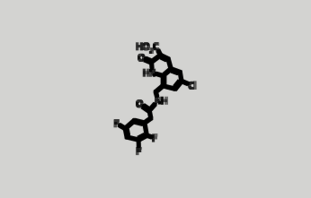 O=C(Cc1cc(F)cc(F)c1F)NCc1cc(Cl)cc2cc(C(=O)O)c(=O)[nH]c12